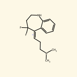 CN(C)CC/C=C1\c2ccccc2NCCC1(F)F